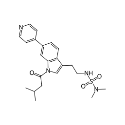 CC(C)CC(=O)n1cc(CCNS(=O)(=O)N(C)C)c2ccc(-c3ccncc3)cc21